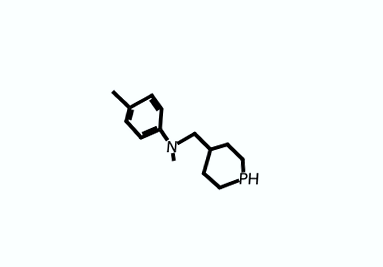 Cc1ccc(N(C)CC2CCPCC2)cc1